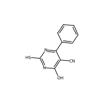 N#Cc1c(O)nc(S)nc1-c1ccccc1